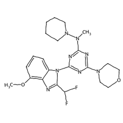 COc1cccc2c1nc(C(F)F)n2-c1nc(N2CCOCC2)nc(N(C)N2CCCCC2)n1